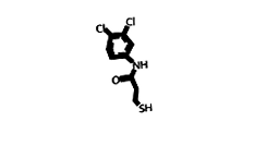 O=C(CCS)Nc1ccc(Cl)c(Cl)c1